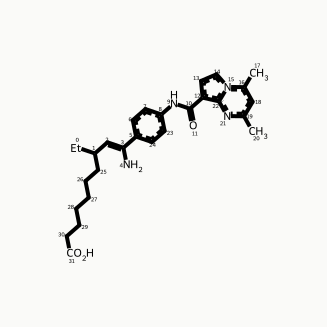 CCC(/C=C(\N)c1ccc(NC(=O)c2ccn3c(C)cc(C)nc23)cc1)CCCCCCC(=O)O